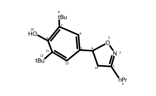 [CH2]CCC1=NOC(c2cc(C(C)(C)C)c(O)c(C(C)(C)C)c2)C1